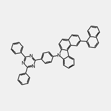 c1ccc(-c2nc(-c3ccccc3)nc(-c3ccc(-n4c5ccccc5c5c6cc(-c7cccc8ccccc78)ccc6ccc54)cc3)n2)cc1